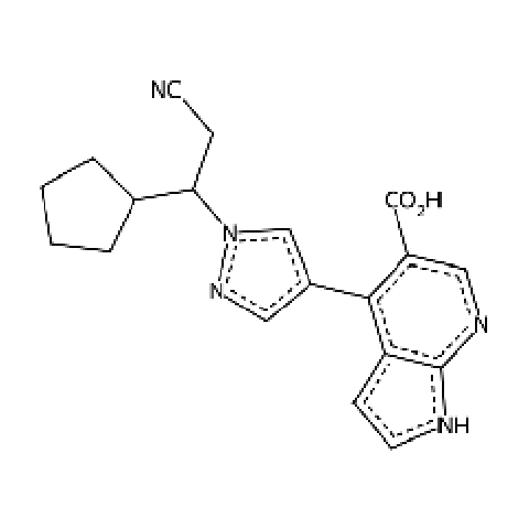 N#CCC(C1CCCC1)n1cc(-c2c(C(=O)O)cnc3[nH]ccc23)cn1